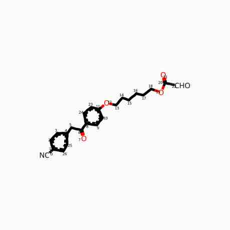 N#Cc1ccc(CC(=O)c2ccc(OCCCCCCOC(=O)C=O)cc2)cc1